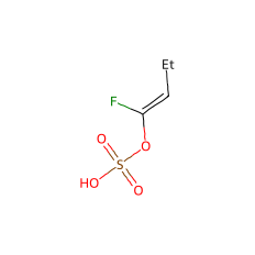 CCC=C(F)OS(=O)(=O)O